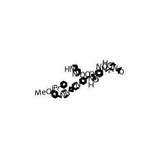 COc1ccc(CN2CCN(C3CC4(CCN(c5ccc(C(=O)NS(=O)(=O)c6ccc(NC[C@@H]7CN(C8COC8)CCO7)c([N+](=O)[O-])c6)c(Oc6cnc7[nH]ccc7c6)c5)CC4)C3)[C@@H](c3ccccc3C(C)C)C2)cc1